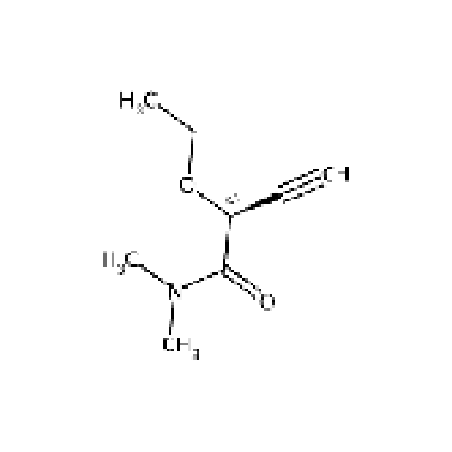 C#C[C@H](OCC)C(=O)N(C)C